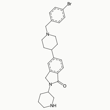 O=C1c2ccc(C3CCN(Cc4ccc(Br)cc4)CC3)cc2CN1C1CCCNC1